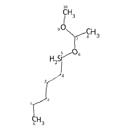 CCCCC[SiH2]OC(C)OC